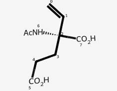 C=C[C@@](CCC(=O)O)(NC(C)=O)C(=O)O